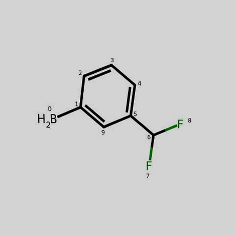 Bc1cccc(C(F)F)c1